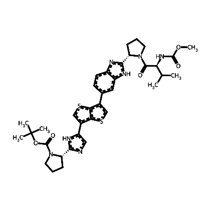 COC(=O)N[C@H](C(=O)N1CCC[C@H]1c1nc2ccc(-c3csc4c(-c5cnc([C@@H]6CCCN6C(=O)OC(C)(C)C)[nH]5)csc34)cc2[nH]1)C(C)C